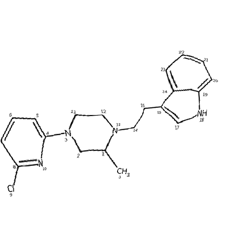 CC1CN(c2cccc(Cl)n2)CCN1CCc1c[nH]c2ccccc12